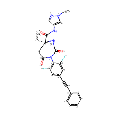 CC[C@@]1(C(=O)Nc2cnn(C)c2)CC(=O)N(c2c(F)cc(C#Cc3ccccc3)cc2F)C(=O)N1